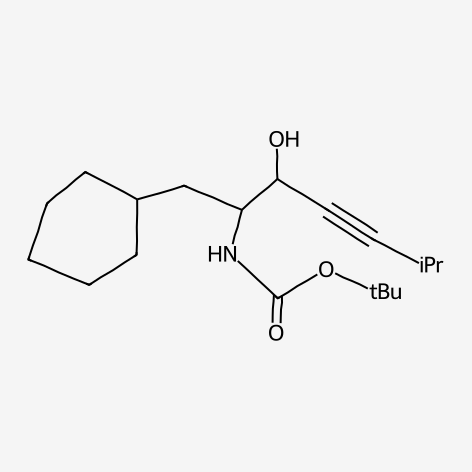 CC(C)C#CC(O)C(CC1CCCCC1)NC(=O)OC(C)(C)C